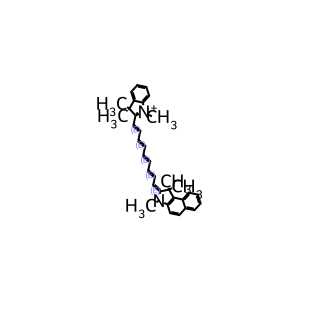 CN1/C(=C/C=C/C=C/C=C/C=C/C2=[N+](C)c3ccccc3C2(C)C)C(C)(C)c2c1ccc1ccccc21